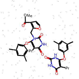 COC(=O)c1ccoc1Cn1c(Oc2cc(C)cc(C)c2)c(C(C)C)c(=O)[nH]c1=O.Cc1cc(C)cc(Oc2[nH]c(=O)[nH]c(=O)c2C(C)C)c1